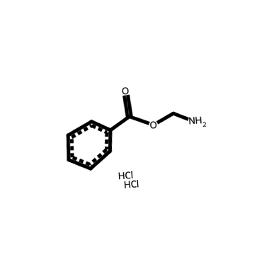 Cl.Cl.NCOC(=O)c1ccccc1